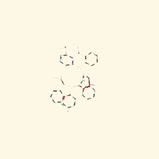 Bc1c2cc(C(C)(C)C)cc1N1c3ccc(C(C)(C)C)cc3C3(C)CCC(C)(C)c4ccc(c1c43)CC1=C(c3cc(C)ccc3OC1)N2c1ccc(C(C)(C)C)cc1-c1ccccc1